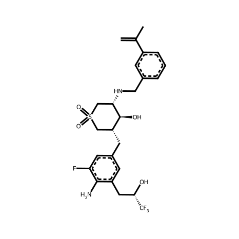 C=C(C)c1cccc(CN[C@H]2CS(=O)(=O)C[C@@H](Cc3cc(F)c(N)c(C[C@H](O)C(F)(F)F)c3)[C@@H]2O)c1